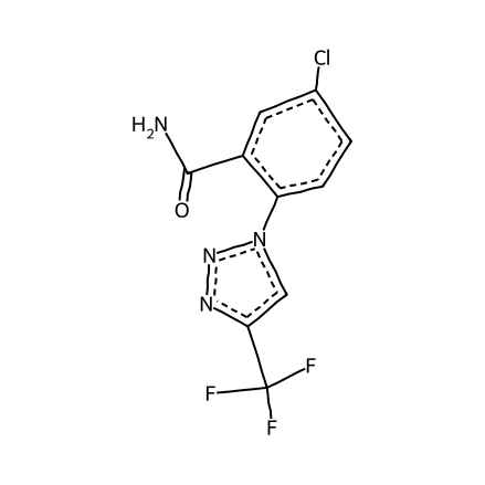 NC(=O)c1cc(Cl)ccc1-n1cc(C(F)(F)F)nn1